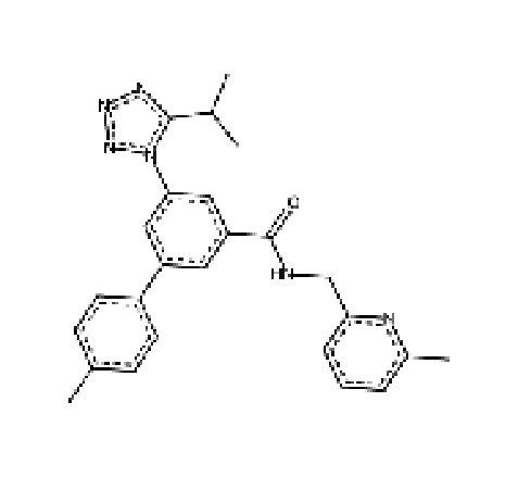 Cc1ccc(-c2cc(C(=O)NCc3cccc(C)n3)cc(-n3nnnc3C(C)C)c2)cc1